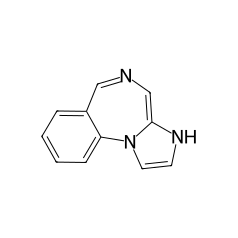 C1=CN2C(=CN=Cc3ccccc32)N1